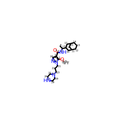 CC(C)Oc1c(C(=O)NC(C)C2CC3CCCC(C3)C2)cnn1CCCN1CCNCC1